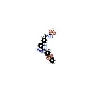 CS(=O)(=O)CCNCc1ccc(-c2ccc3ncnc(Nc4ccc(S(=O)(=O)c5ccccc5)cc4)c3c2)cc1